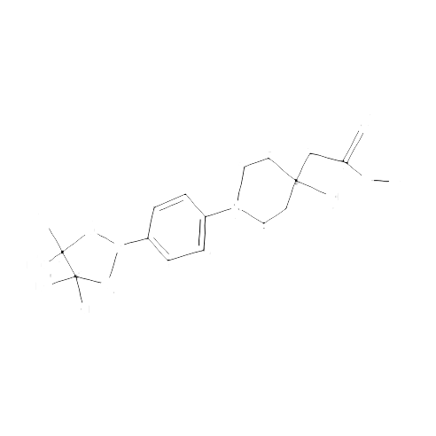 CC(C)(C)OC(=O)CC1(O)CCN(c2ccc(B3OC(C)(C)C(C)(C)O3)cc2)CC1